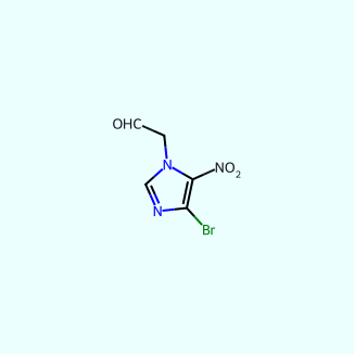 O=CCn1cnc(Br)c1[N+](=O)[O-]